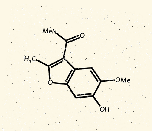 CNC(=O)c1c(C)oc2cc(O)c(OC)cc12